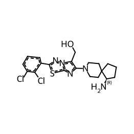 N[C@@H]1CCCC12CCN(c1nc3sc(-c4cccc(Cl)c4Cl)nn3c1CO)CC2